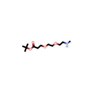 CNCCOCCOCCC(=O)OC(C)(C)C